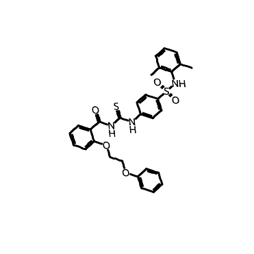 Cc1cccc(C)c1NS(=O)(=O)c1ccc(NC(=S)NC(=O)c2ccccc2OCCOc2ccccc2)cc1